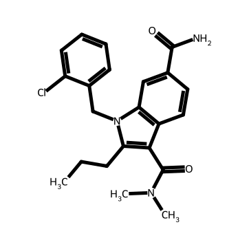 CCCc1c(C(=O)N(C)C)c2ccc(C(N)=O)cc2n1Cc1ccccc1Cl